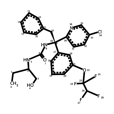 CCC(CO)NC(=O)N[C@@](Cc1ccccc1)(c1cccc(OC(F)(F)C(F)F)c1)c1ccc(Cl)cn1